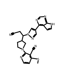 CSc1ccnc(N2CCC(C(CC#N)n3cc(-c4ncnc5[nH]ccc45)cn3)C2)c1C#N